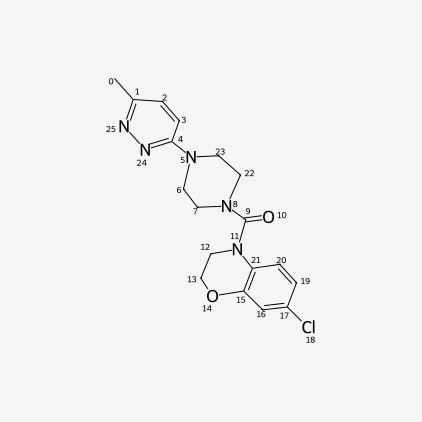 Cc1ccc(N2CCN(C(=O)N3CCOc4cc(Cl)ccc43)CC2)nn1